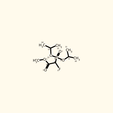 COC(=O)C(F)P(=O)(OC(C)C)OC(C)C